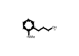 CNc1ccccc1CCCO